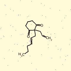 C=CCC1(C/C=C/CCC)C(=O)CCCC1=O